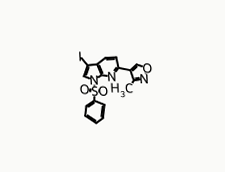 Cc1nocc1-c1ccc2c(I)cn(S(=O)(=O)c3ccccc3)c2n1